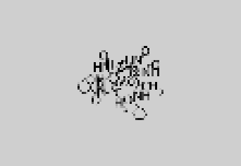 CC(CNC(=O)C1CCCCC1)=C1C(NC=O)=C(NC=O)C(C)=[C]1[Mo][C]1=C(C)C(NC=O)=C(NC=O)C1=C(C)CNC(=O)C1CCCCC1